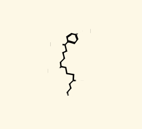 CC(C)CCCC(C)CCCC(C)CCCCC(C)c1ccc(S(=O)(=O)O)cc1